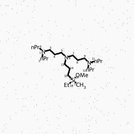 CCCN(CCC)CCCN(CCCN(CCC)CCC)CCC[Si](C)(CC)OC